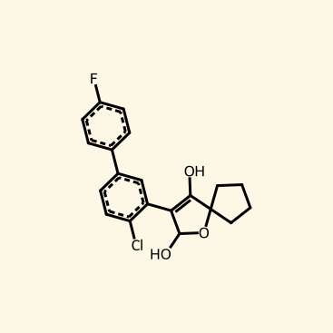 OC1=C(c2cc(-c3ccc(F)cc3)ccc2Cl)C(O)OC12CCCC2